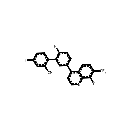 N#Cc1cc(F)ccc1-c1cc(-c2ccnc3c(F)c(C(F)(F)F)ccc23)ccc1F